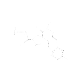 CC(C)N1CC(=O)N(Cc2ccc(Cl)cc2)[C@]2(CCC(C(=O)NC3CC3)C2)C1=O